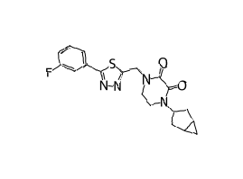 O=C1C(=O)N(C2CC3CC3C2)CCN1Cc1nnc(-c2cccc(F)c2)s1